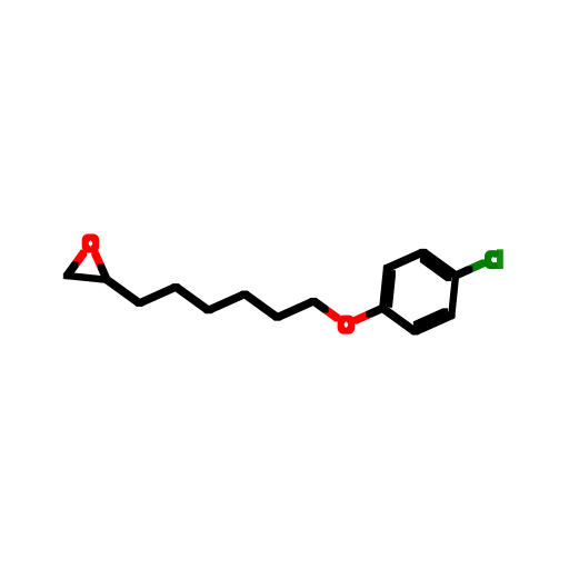 Clc1ccc(OCCCCCCC2CO2)cc1